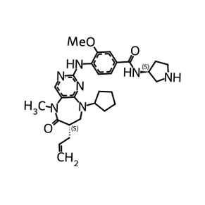 C=CC[C@H]1CN(C2CCCC2)c2nc(Nc3ccc(C(=O)N[C@H]4CCNC4)cc3OC)ncc2N(C)C1=O